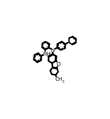 CC1CCC2=C(C1)OC1=CC(N(c3ccc(C4C=CC=CC4)cc3)c3ccccc3Nc3ccccc3)=CCC12